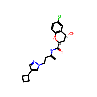 C=C(CCn1cc(C2CCC2)cn1)NC(=O)[C@@H]1C[C@@H](O)c2cc(Cl)ccc2O1